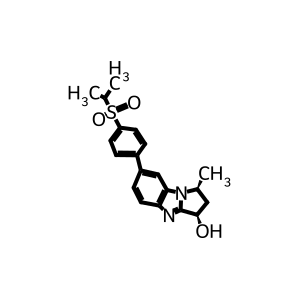 CC(C)S(=O)(=O)c1ccc(-c2ccc3nc4n(c3c2)[C@@H](C)C[C@H]4O)cc1